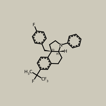 CC(F)(c1ccc2c(c1)CC[C@H]1N(c3ccccc3)CC[C@@]21Cc1ccc(F)cc1)C(F)(F)F